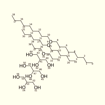 CCCCCCCCCOCCCCCCCCC.CCCCCCOCCCCCC.CCCOCCC.OCC(O)CO.OCC(O)CO.OCC(O)CO